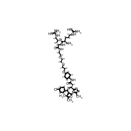 Cc1sc2c(c1C)C(c1ccc(Cl)cc1)=N[C@@H](CC(=O)Nc1ccc(OCCOCCOCCNC(=O)[C@H](CCCNC(=N)N)NC(=O)[C@@H](N)CCCNC(=N)N)cc1)c1nnc(C)n1-2